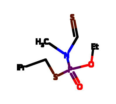 CCOP(=O)(SCC(C)C)N(C)C=S